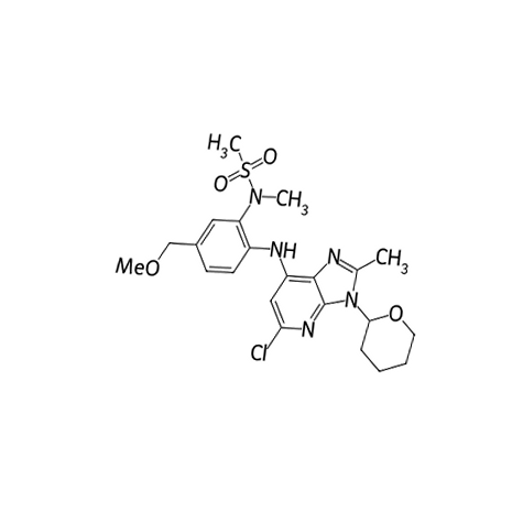 COCc1ccc(Nc2cc(Cl)nc3c2nc(C)n3C2CCCCO2)c(N(C)S(C)(=O)=O)c1